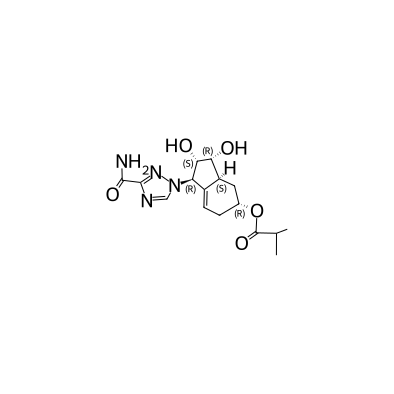 CC(C)C(=O)O[C@@H]1CC=C2[C@@H](n3cnc(C(N)=O)n3)[C@H](O)[C@H](O)[C@H]2C1